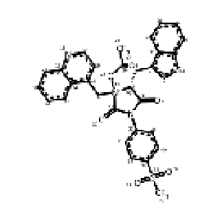 O=C1[C@@H](Cc2csc3ccccc23)[N+](Cc2ccnc3ccccc23)(OC(=O)C(F)(F)F)C(=O)N1c1ccc(S(=O)(=O)C(F)(F)F)cc1